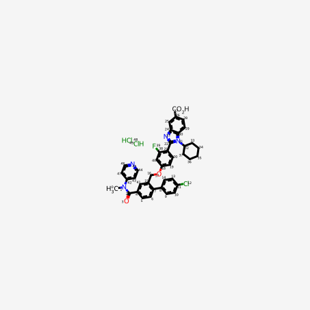 CN(C(=O)c1ccc(-c2ccc(Cl)cc2)c(COc2ccc(-c3nc4cc(C(=O)O)ccc4n3C3CCCCC3)c(F)c2)c1)c1ccncc1.Cl.Cl